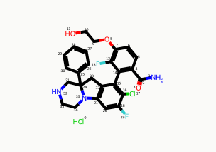 Cl.NC(=O)c1ccc(OCCO)c(F)c1-c1c(Cl)c(F)cc2c1CC1(c3ccccc3)CNCCN21